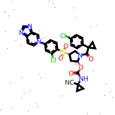 N#CC1(NC(=O)O[C@H]2C[C@@H](S(=O)(=O)c3ccc(-n4ccc5ncnc-5c4)cc3Cl)CN2C(=O)C2(c3ccc(Cl)cc3)CC2)CC1